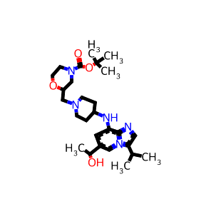 CC(C)c1cnc2c(NC3CCN(CC4CN(C(=O)OC(C)(C)C)CCO4)CC3)cc(C(C)O)cn12